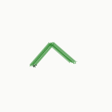 Cl.Cl.Cl.Cl.Cl.Cl.Cl.Cl.Cl.Cl.Cl.Cl.Cl.Cl.Cl.Cl.Cl.Cl.Cl.Cl.Cl.Cl.Cl.Cl.Cl.Cl.Cl.Cl.Cl.Cl.Cl.Cl.Cl.Cl.Cl.Cl.Cl.Cl.Cl.Cl.Cl.Cl.Cl.Cl.Cl.Cl.Cl.Cl.[Cl-].[K+]